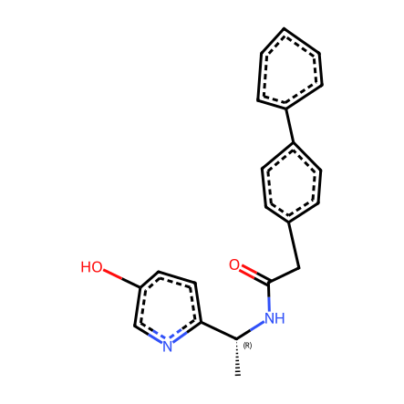 C[C@@H](NC(=O)Cc1ccc(-c2ccccc2)cc1)c1ccc(O)cn1